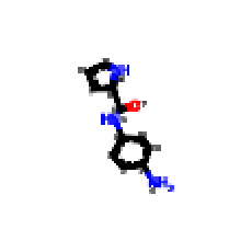 Nc1ccc(NC(=O)c2ccc[nH]2)cc1